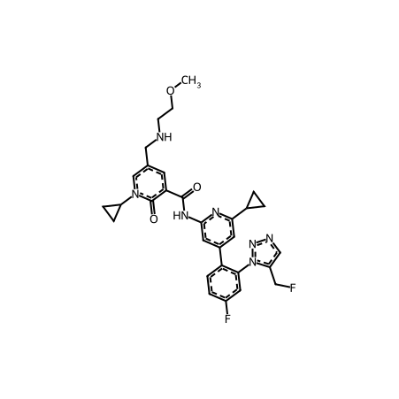 COCCNCc1cc(C(=O)Nc2cc(-c3ccc(F)cc3-n3nncc3CF)cc(C3CC3)n2)c(=O)n(C2CC2)c1